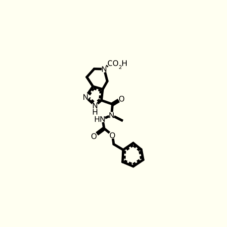 CN(NC(=O)OCc1ccccc1)C(=O)c1[nH]nc2c1CN(C(=O)O)CC2